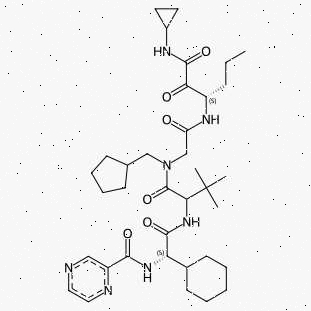 CCC[C@H](NC(=O)CN(CC1CCCC1)C(=O)C(NC(=O)[C@@H](NC(=O)c1cnccn1)C1CCCCC1)C(C)(C)C)C(=O)C(=O)NC1CC1